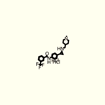 CN1CCC(CNC2CC2c2ccc(NC(=O)c3cccc(C(F)(F)F)c3)cc2)CC1.Cl.Cl